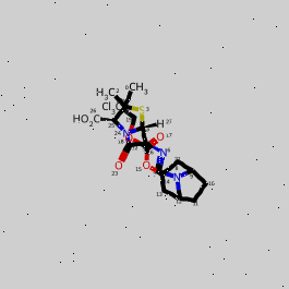 CC1(C)S[C@@H]2[C@@H](N=CN3C4CCC3CC(OC(=O)OCC(Cl)(Cl)Cl)C4)C(=O)N2[C@H]1C(=O)O